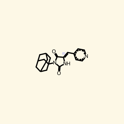 O=C1N/C(=C\c2ccncc2)C(=O)N1C12CC3CC(CC(C3)C1)C2